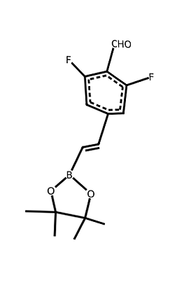 CC1(C)OB(/C=C/c2cc(F)c(C=O)c(F)c2)OC1(C)C